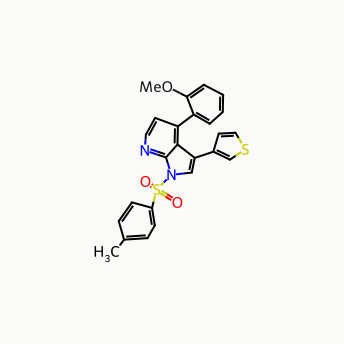 COc1ccccc1-c1ccnc2c1c(-c1ccsc1)cn2S(=O)(=O)c1ccc(C)cc1